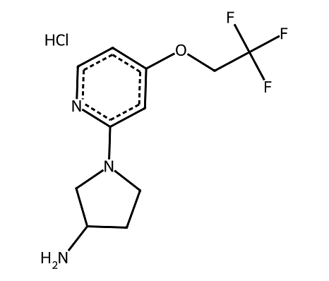 Cl.NC1CCN(c2cc(OCC(F)(F)F)ccn2)C1